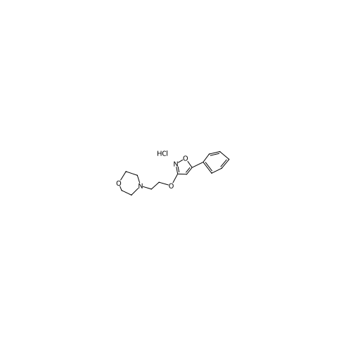 Cl.c1ccc(-c2cc(OCCN3CCOCC3)no2)cc1